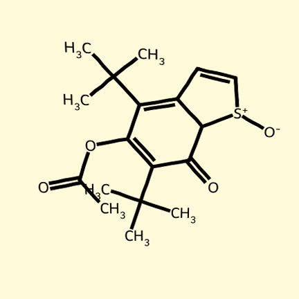 CC(=O)OC1=C(C(C)(C)C)C(=O)C2C(=C1C(C)(C)C)C=C[S+]2[O-]